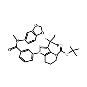 CN(C(=O)c1cccc(-n2nc(C(F)(F)F)c3c2CCCN3C(=O)OC(C)(C)C)c1)c1ccc2c(c1)OCO2